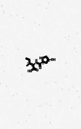 CC[C@H](C)[C@H](NC(=O)[C@@H]1C[C@@H](O)CN1)C(=O)O